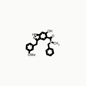 COc1cccc(Cc2n[nH]c3cc(O)c(C(=O)N(C)Cc4ccccc4)cc23)c1